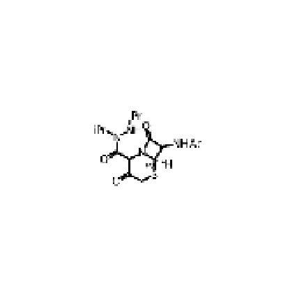 CC(=O)NC1C(=O)N2C(C(=O)N(NC(C)C)C(C)C)C(=O)CS[C@H]12